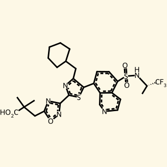 C[C@H](NS(=O)(=O)c1ccc(-c2sc(-c3noc(CC(C)(C)C(=O)O)n3)nc2CC2CCCCC2)c2cnccc12)C(F)(F)F